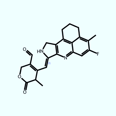 Cc1c(F)cc2nc3c(c4c2c1CCC4)CN/C3=C\C1=C(C=O)COC(=O)C1C